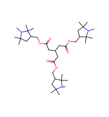 CN1C(C)(C)CC(COC(=O)CC(CC(=O)OCC2CC(C)(C)NC2(C)C)CC(=O)OCC2CC(C)(C)N(C)C2(C)C)C1(C)C